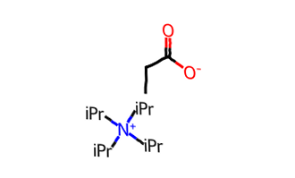 CC(C)[N+](C(C)C)(C(C)C)C(C)C.CCC(=O)[O-]